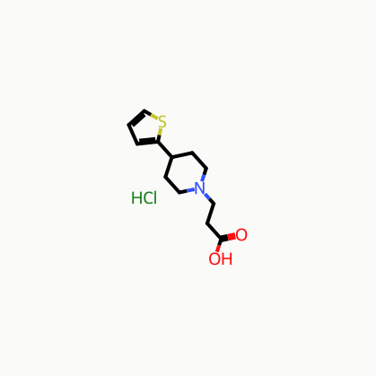 Cl.O=C(O)CCN1CCC(c2cccs2)CC1